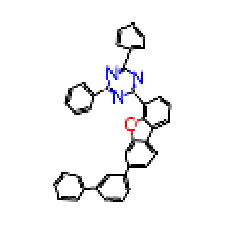 c1ccc(-c2cccc(-c3ccc4c(c3)oc3c(-c5nc(-c6ccccc6)nc(-c6ccccc6)n5)cccc34)c2)cc1